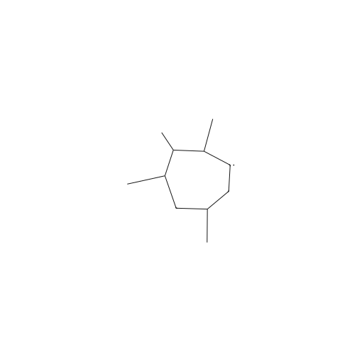 CC1C[CH]C(C)C(C)C(C)C1